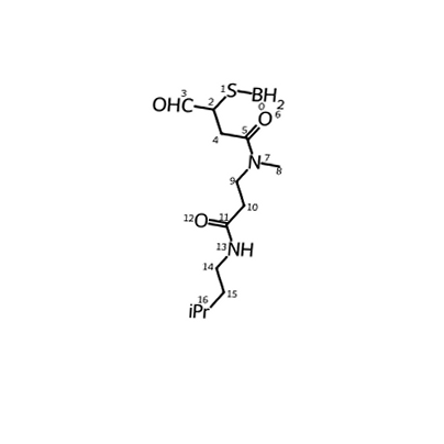 BSC(C=O)CC(=O)N(C)CCC(=O)NCCC(C)C